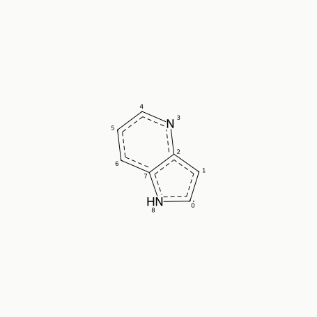 [c]1cc2ncccc2[nH]1